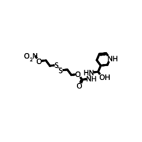 O=C(NNC(O)C1CC=CNC1)OCCSSCCO[N+](=O)[O-]